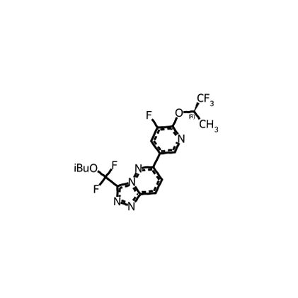 CC(C)COC(F)(F)c1nnc2ccc(-c3cnc(O[C@H](C)C(F)(F)F)c(F)c3)nn12